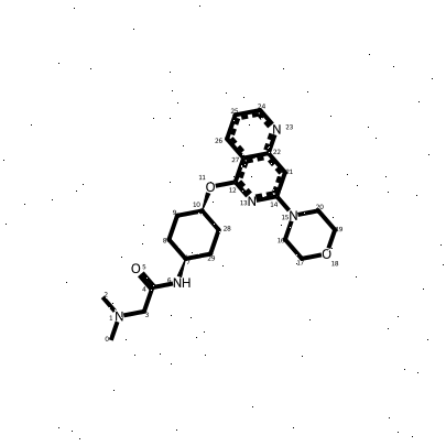 CN(C)CC(=O)N[C@H]1CC[C@@H](Oc2nc(N3CCOCC3)cc3ncccc23)CC1